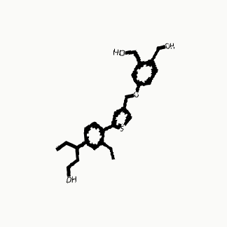 CCc1cc(C(CC)CCO)ccc1-c1cc(COc2ccc(CO)c(CO)c2)cs1